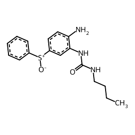 CCCCNC(=O)Nc1cc([S+]([O-])c2ccccc2)ccc1N